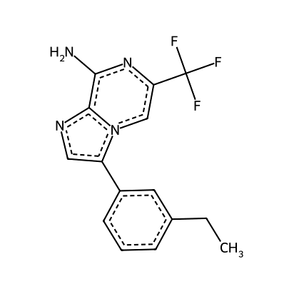 CCc1cccc(-c2cnc3c(N)nc(C(F)(F)F)cn23)c1